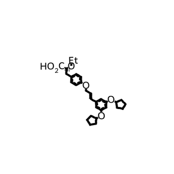 CCO[C@@H](Cc1ccc(OCC=Cc2cc(OC3CCCC3)cc(OC3CCCC3)c2)cc1)C(=O)O